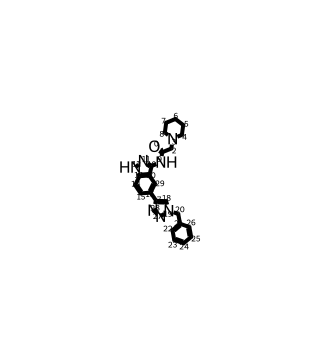 O=C(CN1CCCCC1)Nc1n[nH]c2ccc(-c3cn(Cc4ccccc4)nn3)cc12